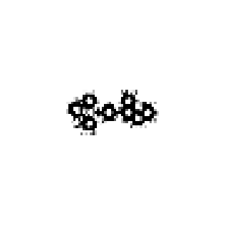 c1ccc(N(c2ccc(-c3cc4ccc5ccccc5c4c4ccccc34)cc2)c2cccc3oc4ccccc4c23)cc1